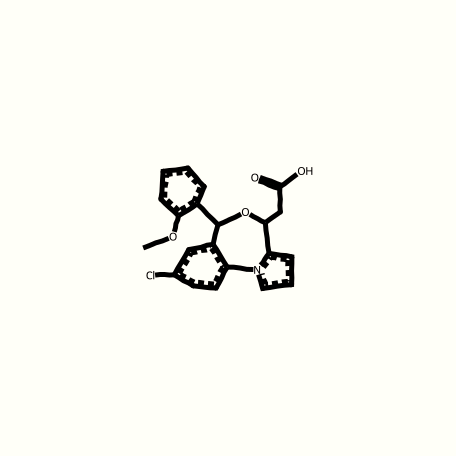 COc1ccccc1C1OC(CC(=O)O)c2cccn2-c2ccc(Cl)cc21